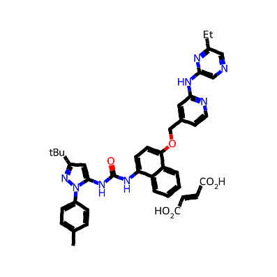 CCc1cncc(Nc2cc(COc3ccc(NC(=O)Nc4cc(C(C)(C)C)nn4-c4ccc(C)cc4)c4ccccc34)ccn2)n1.O=C(O)C=CC(=O)O